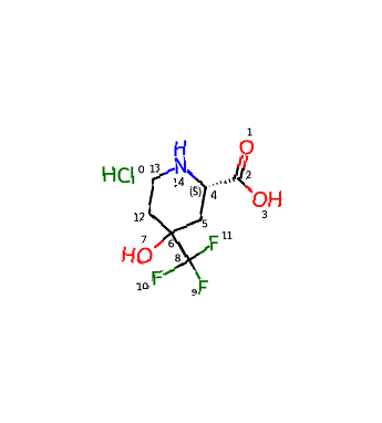 Cl.O=C(O)[C@@H]1CC(O)(C(F)(F)F)CCN1